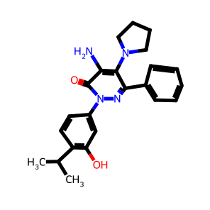 CC(C)c1ccc(-n2nc(-c3ccccc3)c(N3CCCC3)c(N)c2=O)cc1O